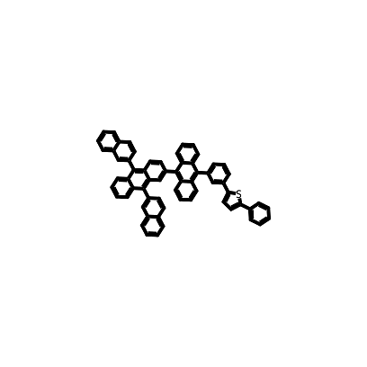 c1ccc(-c2ccc(-c3cccc(-c4c5ccccc5c(-c5ccc6c(-c7ccc8ccccc8c7)c7ccccc7c(-c7ccc8ccccc8c7)c6c5)c5ccccc45)c3)s2)cc1